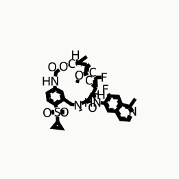 COc1cc2c(F)cc1[C@@H](C)COC(=O)Nc1ccc(S(=O)(=O)C3CC3)c(c1)CN(C)C(=O)[C@@H]2Nc1cc2ccnc(C)c2cc1F